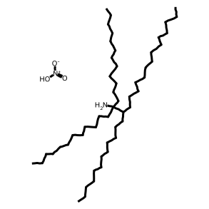 CCCCCCCCCCCCCCC(CCCCCCCCCCCC)C(N)(CCCCCCCCCCCC)CCCCCCCCCCCC.O=[N+]([O-])O